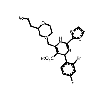 CCOC(=O)C1=C(CN2CCOC(CCC(C)=O)C2)NC(c2nccs2)=NC1c1ccc(F)cc1Br